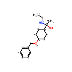 CCNC(C)(O)C1CCC(OCc2ccccc2)CC1